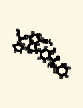 C=CC(=O)N1CCC[C@H]1c1nc(-c2ccc(C(=O)Nc3ccccn3)c(F)c2)c2c(N)nccn12